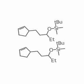 CCC(CCC1C=CCC1)O[Si](C)(C)C(C)(C)C.CCC(CCC1C=CCC1)O[Si](C)(C)C(C)(C)C